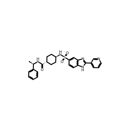 C[C@@H](NC(=O)[C@H]1CC[C@H](NS(=O)(=O)c2ccc3[nH]c(-c4cccnc4)nc3c2)CC1)c1ccccc1